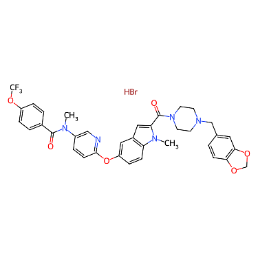 Br.CN(C(=O)c1ccc(OC(F)(F)F)cc1)c1ccc(Oc2ccc3c(c2)cc(C(=O)N2CCN(Cc4ccc5c(c4)OCO5)CC2)n3C)nc1